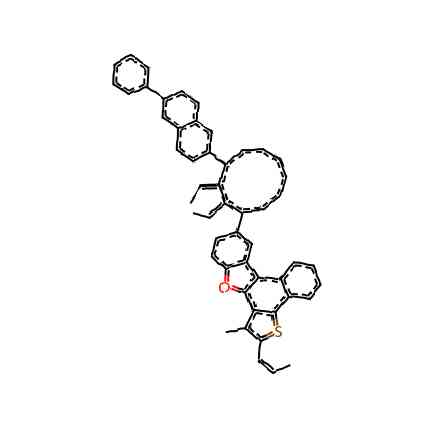 C/C=C\c1sc2c3ccccc3c3c4cc(-c5ccccccc(-c6ccc7cc(-c8ccccc8)ccc7c6)c(=C/C)/c5=C\C)ccc4oc3c2c1C